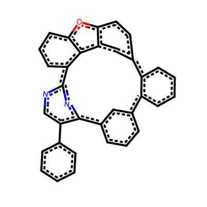 c1ccc(-c2cnc3nc2c2cccc(c2)c2ccccc2c2ccc4oc5cccc3c5c4c2)cc1